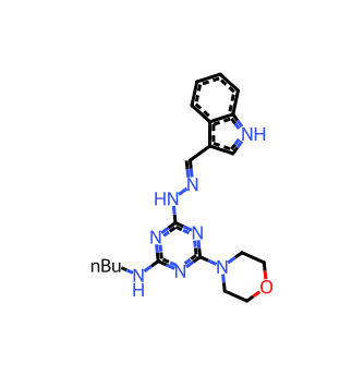 CCCCNc1nc(N/N=C/c2c[nH]c3ccccc23)nc(N2CCOCC2)n1